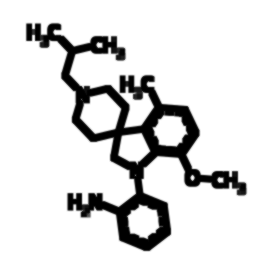 COc1ccc(C)c2c1N(c1ccccc1N)CC21CCN(CC(C)C)CC1